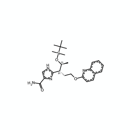 C[C@H](O[Si](C)(C)C(C)(C)C)[C@H](CCOc1ccc2ccccc2n1)c1nc(C(N)=O)c[nH]1